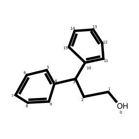 OCCC(c1ccccc1)c1ccccc1